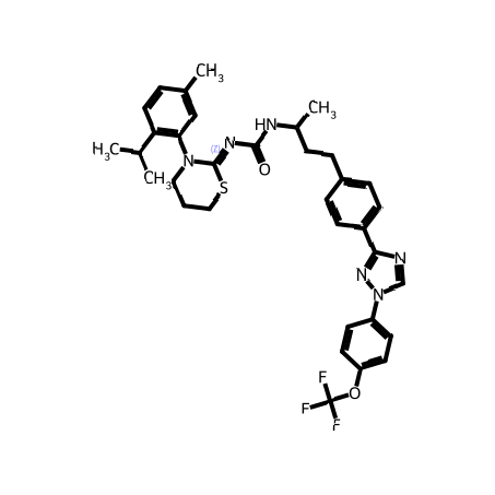 Cc1ccc(C(C)C)c(N2CCCS/C2=N\C(=O)NC(C)CCc2ccc(-c3ncn(-c4ccc(OC(F)(F)F)cc4)n3)cc2)c1